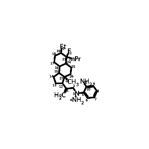 C=C(CN(N)c1ccccc1N)C1CCC2C3CCC(CC)C(F)(CCC)C3CCC12C